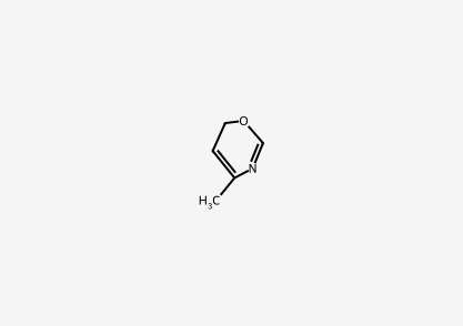 CC1=CCOC=N1